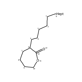 CCCCCCCCCCCCC1CCCCOC1=O